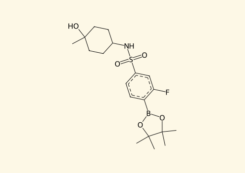 CC1(O)CCC(NS(=O)(=O)c2ccc(B3OC(C)(C)C(C)(C)O3)c(F)c2)CC1